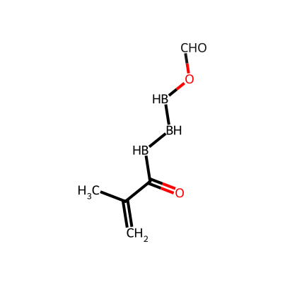 C=C(C)C(=O)BBBOC=O